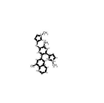 Cn1ccc(Sc2nc(-c3cc(Cl)c4ncccc4c3)c(-c3ccn(C)n3)nc2N)c1